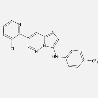 FC(F)(F)c1ccc(Nc2cnc3cc(-c4ncccc4Cl)cnn23)cc1